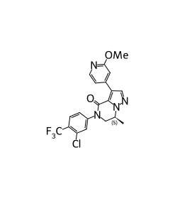 COc1cc(-c2cnn3c2C(=O)N(c2ccc(C(F)(F)F)c(Cl)c2)C[C@@H]3C)ccn1